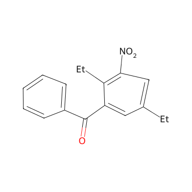 CCc1cc(C(=O)c2ccccc2)c(CC)c([N+](=O)[O-])c1